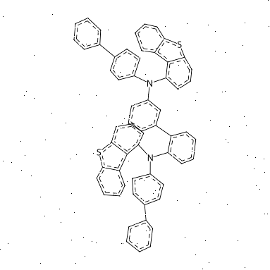 c1ccc(-c2ccc(N(c3cccc(-c4ccccc4N(c4ccc(-c5ccccc5)cc4)c4cccc5sc6ccccc6c45)c3)c3cccc4sc5ccccc5c34)cc2)cc1